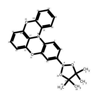 CC1(C)OB(c2ccc3c(c2)Oc2cccc4c2N3c2ccccc2O4)OC1(C)C